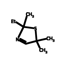 CCC1(C)N=CC(C)(C)S1